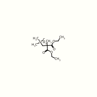 CCOC(=O)C(C)(C[Si](C)(C)C)C(=O)OCC